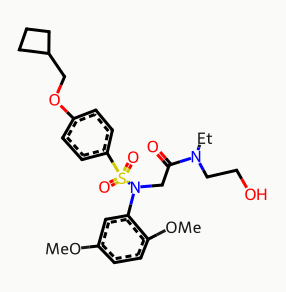 CCN(CCO)C(=O)CN(c1cc(OC)ccc1OC)S(=O)(=O)c1ccc(OCC2CCC2)cc1